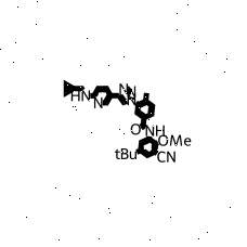 COc1c(C#N)cc(C(C)(C)C)cc1NC(=O)c1ccc(C)c(-n2cc(-c3ccc(NCC4CC4)nc3)nn2)c1